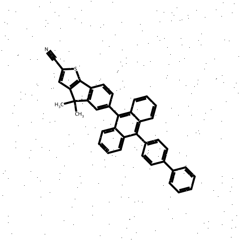 CC1(C)c2cc(-c3c4ccccc4c(-c4ccc(-c5ccccc5)cc4)c4ccccc34)ccc2-c2sc(C#N)cc21